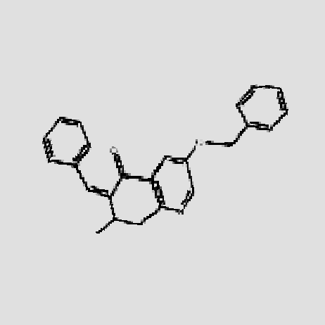 CC1Cc2ncc(OCc3ccccc3)cc2C(=O)C1=Cc1ccccc1